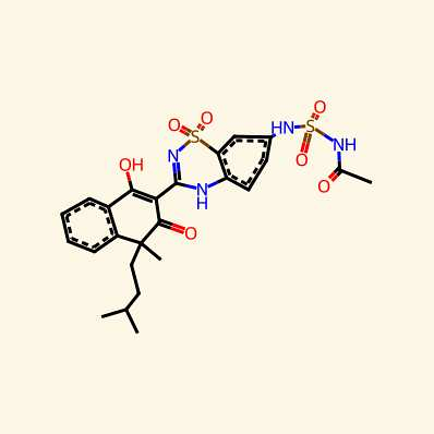 CC(=O)NS(=O)(=O)Nc1ccc2c(c1)S(=O)(=O)N=C(C1=C(O)c3ccccc3C(C)(CCC(C)C)C1=O)N2